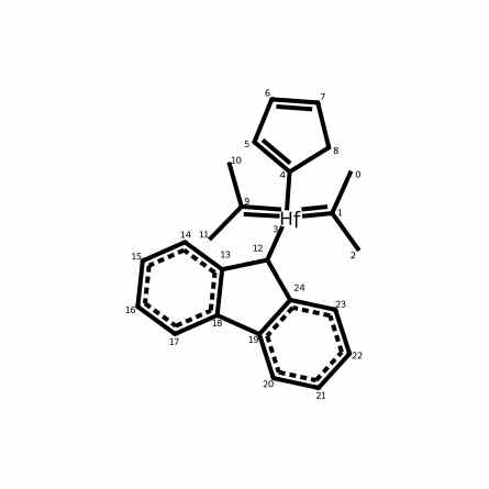 C[C](C)=[Hf]([C]1=CC=CC1)(=[C](C)C)[CH]1c2ccccc2-c2ccccc21